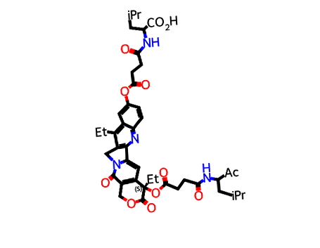 CCc1c2c(nc3ccc(OC(=O)CCC(=O)NC(CC(C)C)C(=O)O)cc13)-c1cc3c(c(=O)n1C2)COC(=O)[C@@]3(CC)OC(=O)CCC(=O)NC(CC(C)C)C(C)=O